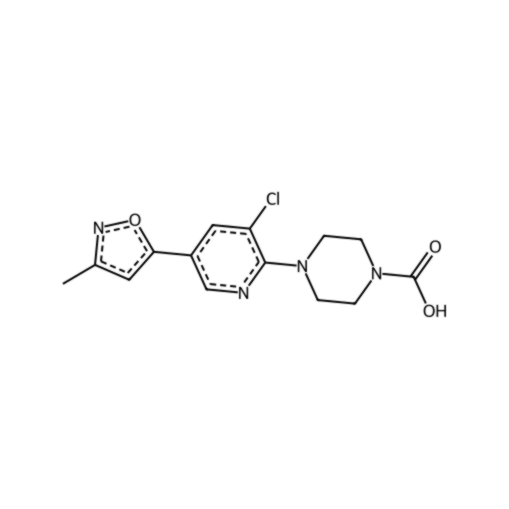 Cc1cc(-c2cnc(N3CCN(C(=O)O)CC3)c(Cl)c2)on1